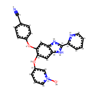 N#Cc1ccc(Oc2cc3nc(-c4ccccn4)[nH]c3cc2Oc2ccc[n+]([O-])c2)cc1